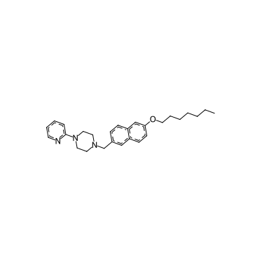 CCCCCCCOc1ccc2cc(CN3CCN(c4ccccn4)CC3)ccc2c1